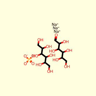 O=CC(O)C(O)C(O)C(O)CO.O=P([O-])([O-])[O-].OCC(O)C(O)C(O)C(O)CO.[Na+].[Na+].[Na+]